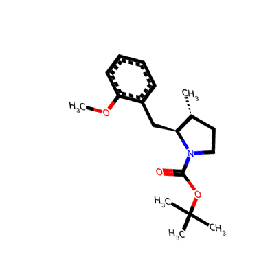 COc1ccccc1C[C@H]1[C@H](C)CCN1C(=O)OC(C)(C)C